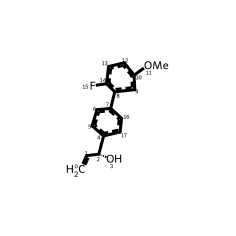 C=C[C@@H](O)c1ccc(-c2cc(OC)ccc2F)cc1